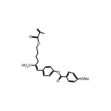 C=C(C)C(=O)OCCCCC(=Cc1ccc(OC(=O)c2ccc(OC)cc2)cc1)C(=O)O